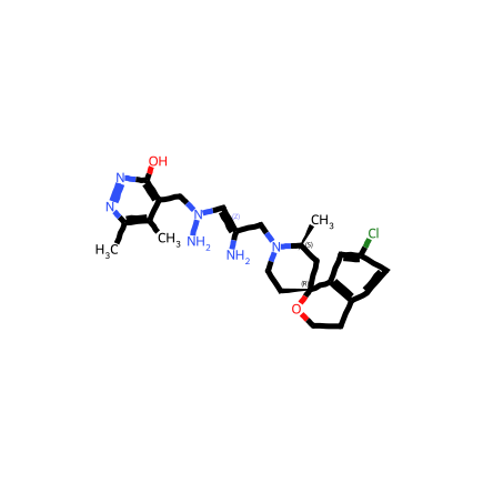 Cc1nnc(O)c(CN(N)/C=C(\N)CN2CC[C@]3(C[C@@H]2C)OCCc2ccc(Cl)cc23)c1C